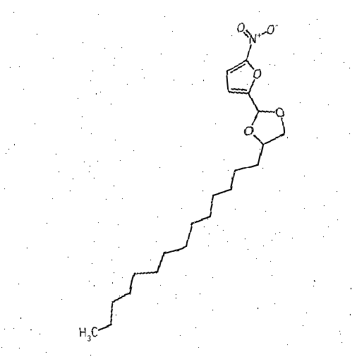 CCCCCCCCCCCCCCC1COC(c2ccc([N+](=O)[O-])o2)O1